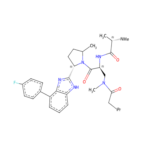 CN[C@@H](C)C(=O)N[C@@H](CN(C)C(=O)CC(C)C)C(=O)N1C(C)CC[C@H]1c1nc2c(-c3ccc(F)cc3)cccc2[nH]1